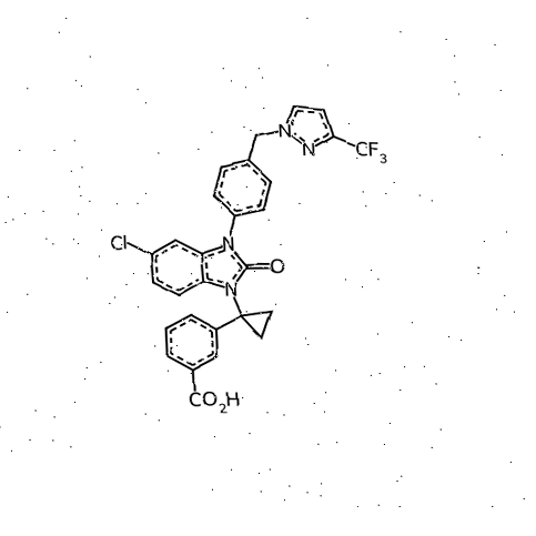 O=C(O)c1cccc(C2(n3c(=O)n(-c4ccc(Cn5ccc(C(F)(F)F)n5)cc4)c4cc(Cl)ccc43)CC2)c1